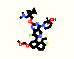 CCc1c(F)ccc2cc(OCOC)cc(-c3ncc4c(N5CCC[C@@](C)(O)C5)nc(OCC5(CN(C)C)CC56CC6)nc4c3F)c12